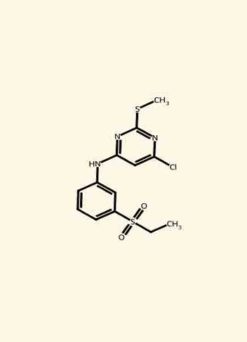 CCS(=O)(=O)c1cccc(Nc2cc(Cl)nc(SC)n2)c1